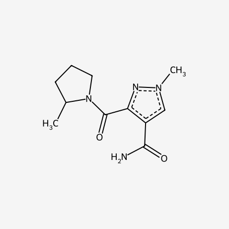 CC1CCCN1C(=O)c1nn(C)cc1C(N)=O